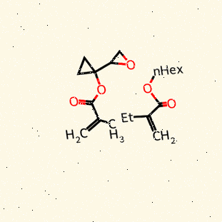 C=C(C)C(=O)OC1(C2CO2)CC1.C=C(CC)C(=O)OCCCCCC